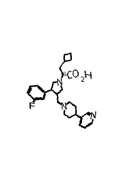 O=C(O)[C@@H](CC1CCC1)N1CC(CN2CCC(c3cccnc3)CC2)C(c2cccc(F)c2)C1